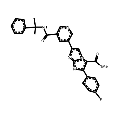 CNC(=O)c1c(-c2ccc(F)cc2)nc2sc(-c3cncc(C(=O)NC(C)(C)c4ccccc4)c3)cn12